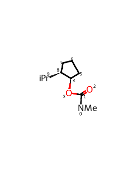 CNC(=O)O[C@@H]1CCC[C@@H]1C(C)C